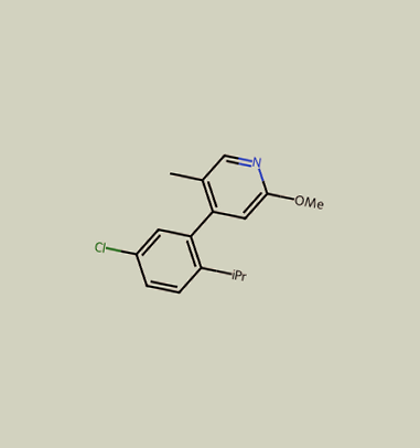 COc1cc(-c2cc(Cl)ccc2C(C)C)c(C)cn1